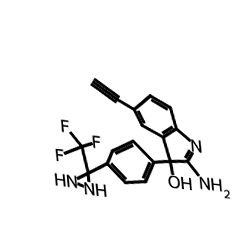 C#Cc1ccc2c(c1)C(O)(c1ccc(C3(C(F)(F)F)NN3)cc1)C(N)=N2